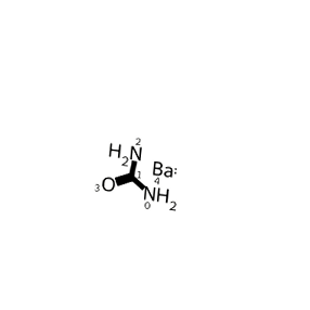 NC(N)=O.[Ba]